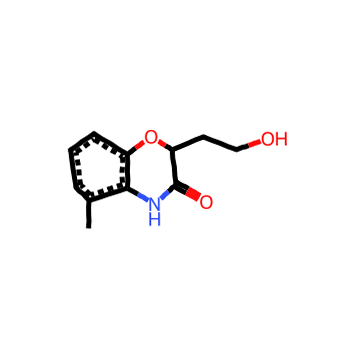 Cc1cccc2c1NC(=O)C(CCO)O2